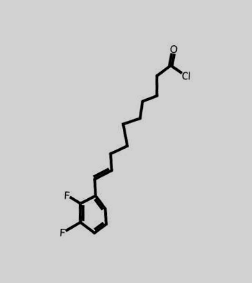 O=C(Cl)CCCCCCC/C=C/c1cccc(F)c1F